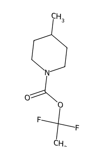 CC1CCN(C(=O)OC(C)(F)F)CC1